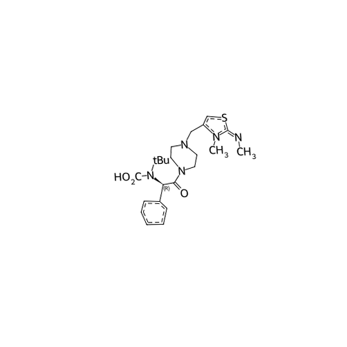 CN=c1scc(CN2CCN(C(=O)[C@@H](c3ccccc3)N(C(=O)O)C(C)(C)C)CC2)n1C